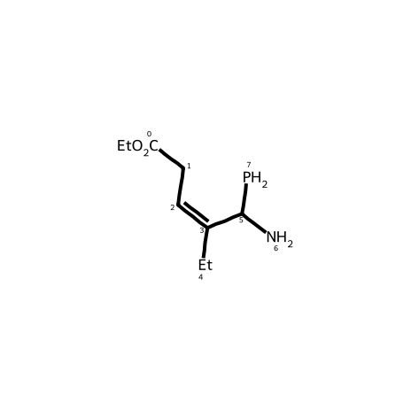 CCOC(=O)CC=C(CC)C(N)P